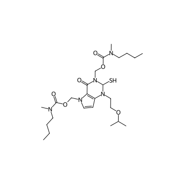 CCCCN(C)C(=O)OCN1C(=O)c2c(ccn2COC(=O)N(C)CCCC)N(CCOC(C)C)C1S